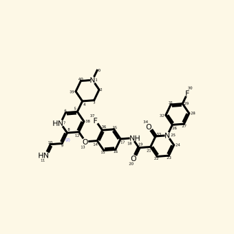 CN1CCC(C2=CN/C(=C\C=N)C(Oc3ccc(NC(=O)c4cccn(-c5ccc(F)cc5)c4=O)cc3F)=C2)CC1